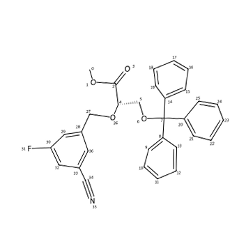 COC(=O)[C@H](COC(c1ccccc1)(c1ccccc1)c1ccccc1)OCc1cc(F)cc(C#N)c1